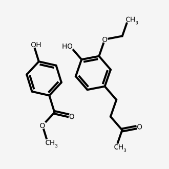 CCOc1cc(CCC(C)=O)ccc1O.COC(=O)c1ccc(O)cc1